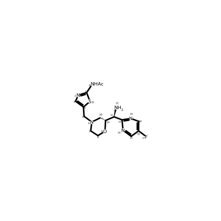 CC(=O)Nc1ncc(CN2CCO[C@@H]([C@@H](N)c3ncc(F)cn3)C2)s1